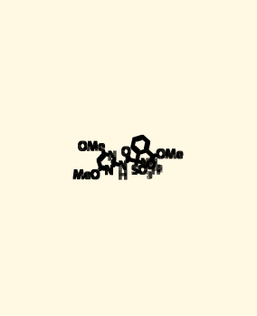 COC(=O)c1ccccc1C(N)(C(=O)Nc1nc(OC)cc(OC)n1)S(=O)(=O)O